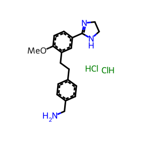 COc1ccc(C2=NCCN2)cc1CCc1ccc(CN)cc1.Cl.Cl